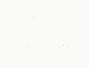 O=S(=O)([O-])[O-].O=S(=O)([O-])[O-].O=S(=O)([O-])[O-].[Al+3].[Al+3].[AlH3]